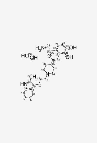 Cc1[nH]c2ccccc2c1CCCN1CCC([C@H]2Cc3c(ccc(O)c3O)[C@@H](CN)O2)CC1.Cl.Cl